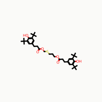 CC(C)(C)c1cc(CCC(=O)OCCCSCOC(=O)CCc2cc(C(C)(C)C)c(O)c(C(C)(C)C)c2)cc(C(C)(C)C)c1O